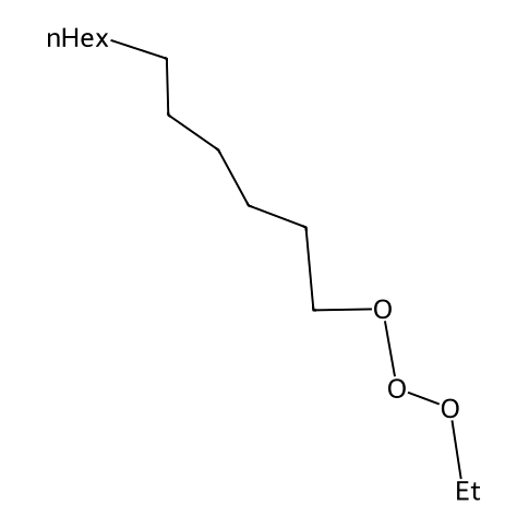 CCCCCCCCCCCCOOOCC